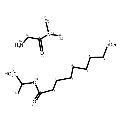 CCCCCCCCCCCCCCCCCC(=O)OC(C)C(=O)O.CCN(CC)C(=O)CN